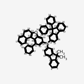 CC1(C)c2ccccc2-c2ccc(N(c3ccc4c(c3)C(c3ccccc3)(c3ccccc3)c3ccccc3-4)c3cc(-c4ccccc4)c4c(c3)oc3ccc5ccccc5c34)cc21